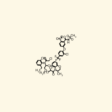 CC1COc2ccccc2N1C(=O)C(Cl)Cl.CCc1cccc(C)c1N(C(=O)CCl)C(C)COC.CS(=O)(=O)NC(=O)c1cc(Oc2ccc(C(F)(F)F)cc2Cl)ccc1[N+](=O)[O-]